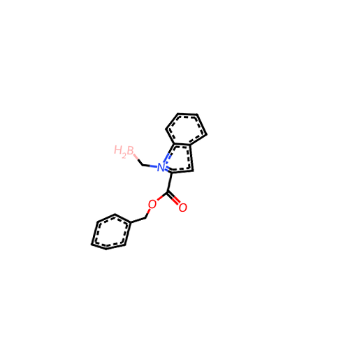 BCn1c(C(=O)OCc2ccccc2)cc2ccccc21